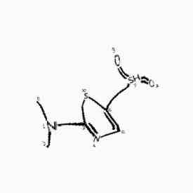 CN(C)c1ncc([SH](=O)=O)s1